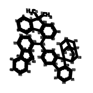 C[Si]1(C)c2ccccc2-c2c(C(c3ccc4c(c3)C3(c5ccccc5-4)C4CC5CC(C4)CC3C5)c3cccc4c3sc3ccccc34)cccc21